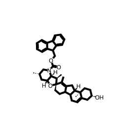 CC1=C2C[C@H]3C(CC=C4C[C@@H](O)CC[C@@]43C)C2CC[C@]12O[C@@H]1C[C@H](C)CN(C(=O)OCC3c4ccccc4-c4ccccc43)[C@H]1[C@H]2C